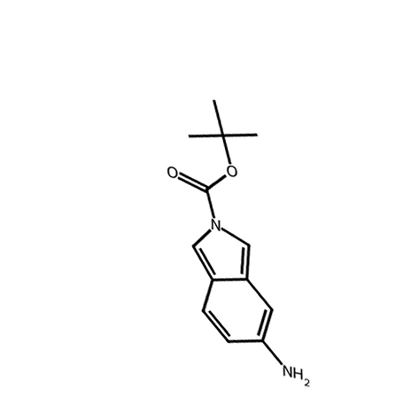 CC(C)(C)OC(=O)n1cc2ccc(N)cc2c1